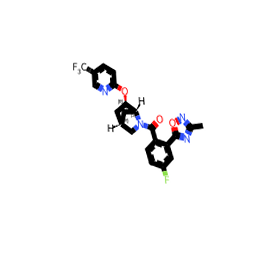 Cc1noc(-c2cc(F)ccc2C(=O)N2C[C@H]3C[C@@H](Oc4ccc(C(F)(F)F)cn4)[C@@H]2C3)n1